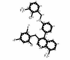 Fc1cc(F)c(Cc2cnc3c(C(F)(F)F)cccc3c2-c2cccc(OCc3cccc(C(F)(F)F)c3Cl)c2)c(F)c1